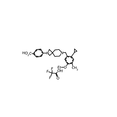 CCOc1cc(CN2CCC3(CC2)CN(c2ccc(C(=O)O)cc2)C3)c(C2CC2)cc1C.O=C(O)C(F)(F)F